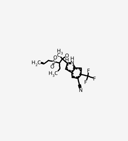 C=CCS(=O)(=O)C(CC)C(C)(O)c1cc2cc(C#N)c(C(F)(F)F)cc2[nH]1